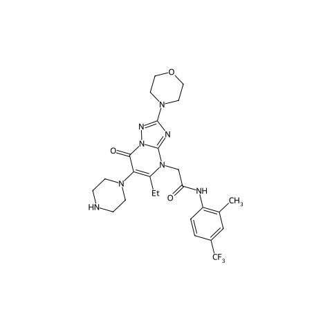 CCc1c(N2CCNCC2)c(=O)n2nc(N3CCOCC3)nc2n1CC(=O)Nc1ccc(C(F)(F)F)cc1C